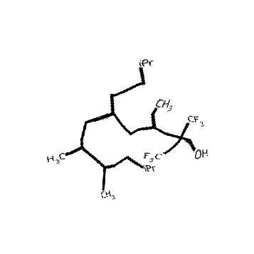 CC(C)CCC(CC(C)C(C)CC(C)C)CC(C)C(O)(C(F)(F)F)C(F)(F)F